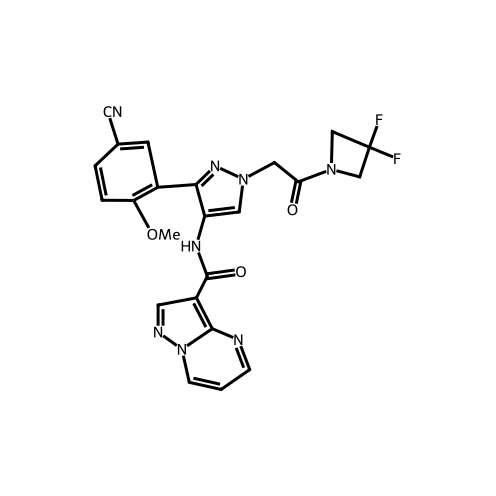 COc1ccc(C#N)cc1-c1nn(CC(=O)N2CC(F)(F)C2)cc1NC(=O)c1cnn2cccnc12